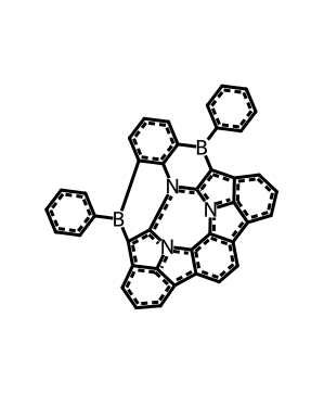 c1ccc(B2c3cccc4c3-n3c5c2c2cccc6c7ccc8c9cccc%10c(c3n(c%109)c8c7n5c26)B4c2ccccc2)cc1